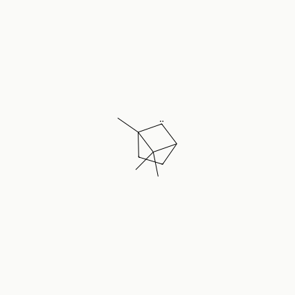 CC12[C]C(CC1)C2(C)C